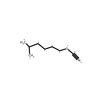 CC(C)CCCCSC#N